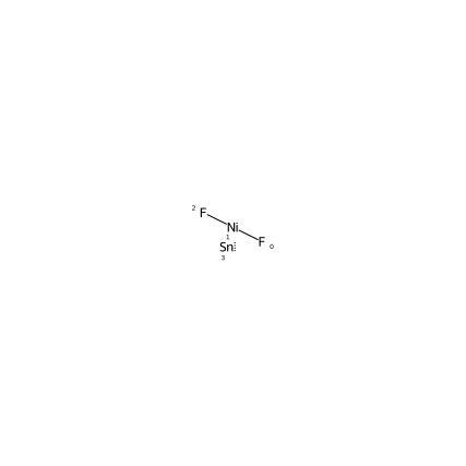 [F][Ni][F].[Sn]